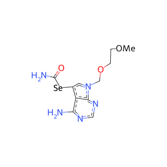 COCCOCn1cc([Se]C(N)=O)c2c(N)ncnc21